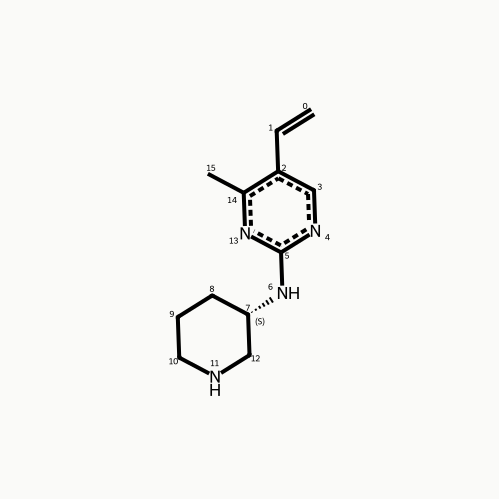 C=Cc1cnc(N[C@H]2CCCNC2)nc1C